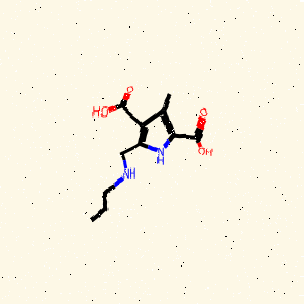 CCCNCc1[nH]c(C(=O)O)c(C)c1C(=O)O